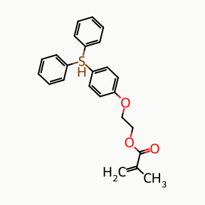 C=C(C)C(=O)OCCOc1ccc([SH](c2ccccc2)c2ccccc2)cc1